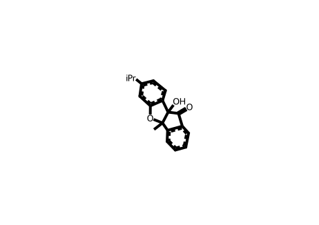 CC(C)c1ccc2c(c1)OC1(C)c3ccccc3C(=O)C21O